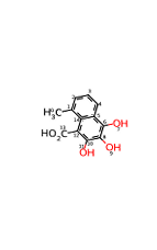 Cc1cccc2c(O)c(O)c(O)c(C(=O)O)c12